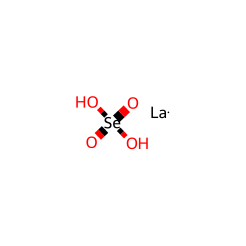 O=[Se](=O)(O)O.[La]